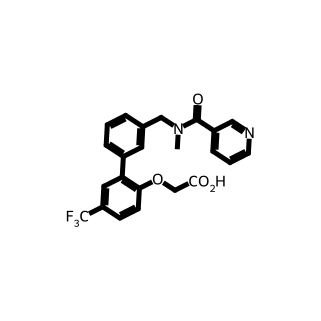 CN(Cc1cccc(-c2cc(C(F)(F)F)ccc2OCC(=O)O)c1)C(=O)c1cccnc1